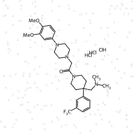 COc1ccc(N2CCN(CC(=O)N3CCC(CN(C)C)(c4cccc(C(F)(F)F)c4)CC3)CC2)cc1OC.Cl.Cl.Cl